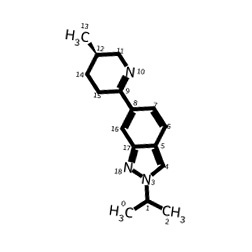 CC(C)n1cc2ccc(C3=NC[C@H](C)CC3)cc2n1